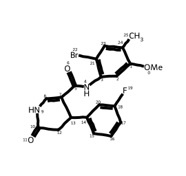 COc1cc(NC(=O)C2=CNC(=O)CC2c2cccc(F)c2)c(Br)cc1C